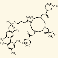 CCOP(C)(=O)CN1CCN(CC(=O)N(CC=O)CC=O)CCN([C@H](CCCOP(=O)(O)Oc2cc(C)c(-c3c(C)cc(C)cc3C)cc2C)C(=O)O)CCN(CC(=O)N(CC(=O)O)CC(=O)O)CC1